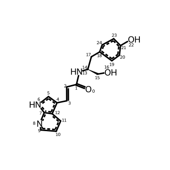 O=C(/C=C/c1c[nH]c2ncccc12)N[C@H](CO)Cc1ccc(O)cc1